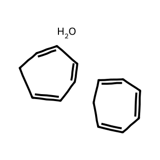 C1=CC=CCC=C1.C1=CC=CCC=C1.O